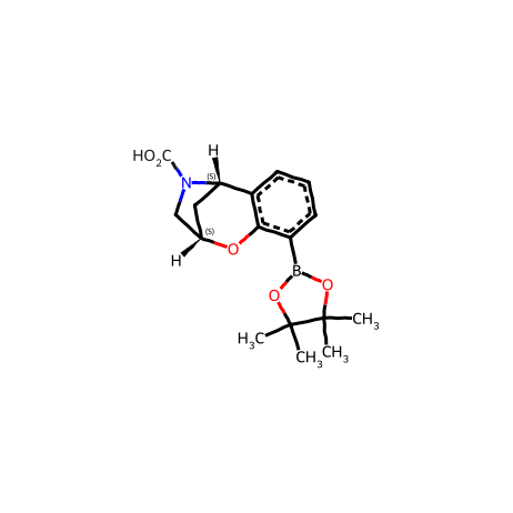 CC1(C)OB(c2cccc3c2O[C@H]2C[C@@H]3N(C(=O)O)C2)OC1(C)C